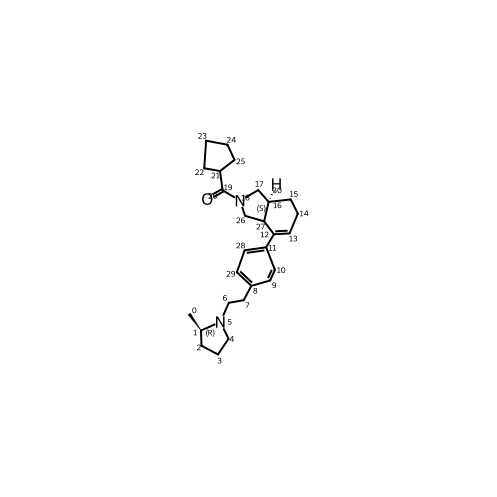 C[C@@H]1CCCN1CCc1ccc(C2=CCC[C@@H]3CN(C(=O)C4CCCC4)CC23)cc1